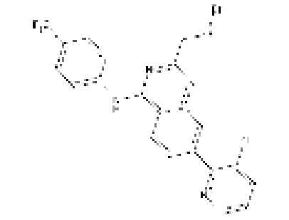 CCOCc1nc(Nc2ccc(C(F)(F)F)cc2)c2ccc(-c3ncccc3Cl)cc2n1